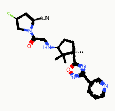 CC1(C)[C@@H](NCC(=O)N2C[C@@H](F)C[C@H]2C#N)CC[C@@]1(C)c1nc(-c2cccnc2)no1